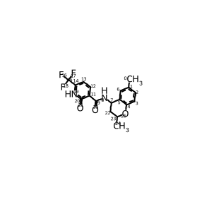 Cc1ccc2c(c1)C(NC(=O)c1ccc(C(F)(F)F)[nH]c1=O)CC(C)O2